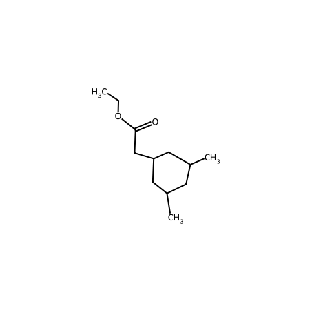 CCOC(=O)CC1CC(C)CC(C)C1